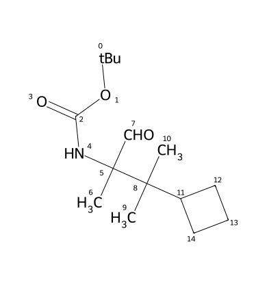 CC(C)(C)OC(=O)NC(C)(C=O)C(C)(C)C1CCC1